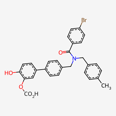 Cc1ccc(CN(Cc2ccc(-c3ccc(O)c(OC(=O)O)c3)cc2)C(=O)c2ccc(Br)cc2)cc1